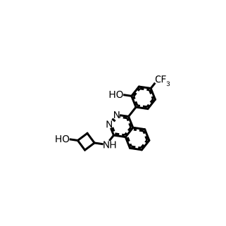 Oc1cc(C(F)(F)F)ccc1-c1nnc(NC2CC(O)C2)c2ccccc12